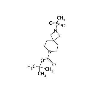 CC(C)(C)OC(=O)N1CCC2(CC1)CN(S(C)(=O)=O)C2